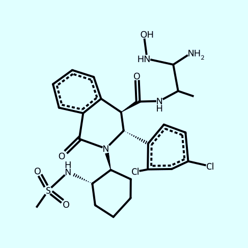 CC(NC(=O)[C@@H]1c2ccccc2C(=O)N([C@H]2CCCC[C@@H]2NS(C)(=O)=O)[C@H]1c1ccc(Cl)cc1Cl)C(N)NO